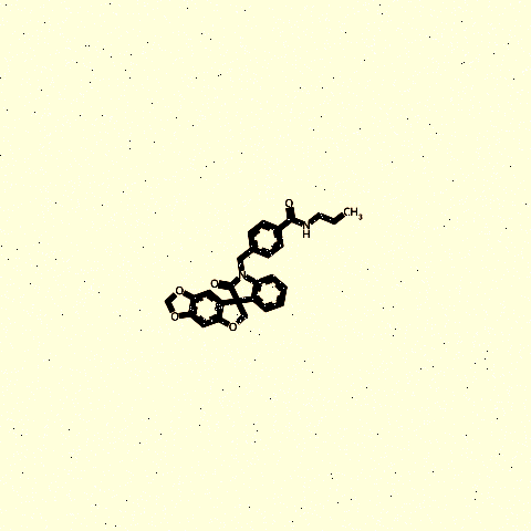 CCCNC(=O)c1ccc(CN2C(=O)C3(COc4cc5c(cc43)OCO5)c3ccccc32)cc1